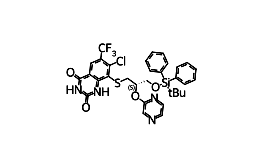 CC(C)(C)[Si](OC[C@@H](CSc1c(Cl)c(C(F)(F)F)cc2c(=O)[nH]c(=O)[nH]c12)Oc1cnccn1)(c1ccccc1)c1ccccc1